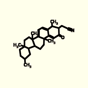 CC1CCC2(C)CCC3(C)C4=CC=C5C(=CC(=O)C(CC#N)C5C)C4(C)CCC3C2C1